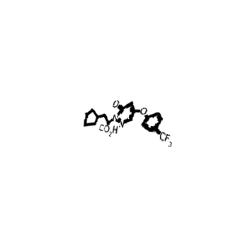 O=C(O)C(CC1CCCC1)n1ncc(Oc2ccc(C(F)(F)F)cc2)cc1=O